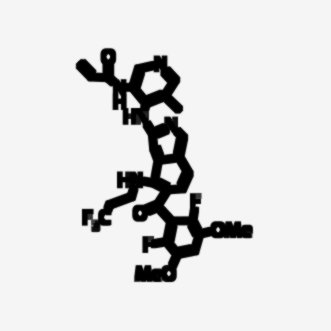 C=CC(=O)Nc1cncc(C)c1Nc1cc2c(NCCC(F)(F)F)c(C(=O)c3c(F)c(OC)cc(OC)c3F)ccc2cn1